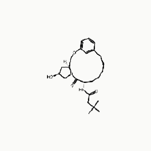 CC(C)(C)CC(=O)N[C@H]1CCCCCc2cccc(c2)OC[C@@H]2C[C@H](O)CN2C1=O